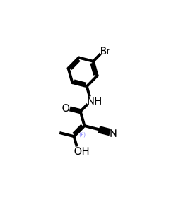 C/C(O)=C(/C#N)C(=O)Nc1cccc(Br)c1